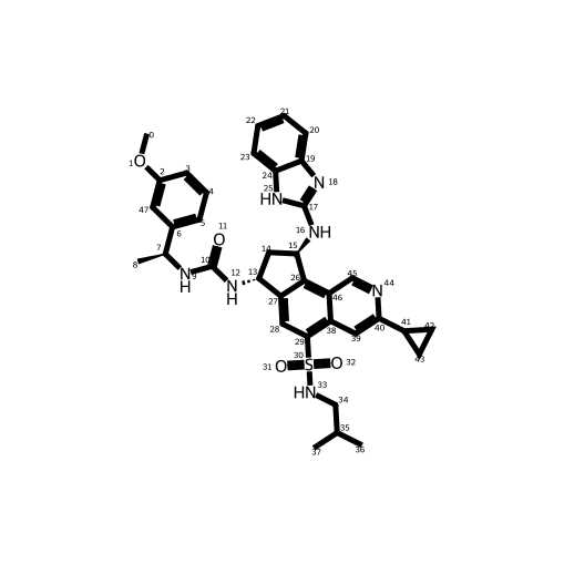 COc1cccc([C@H](C)NC(=O)N[C@@H]2C[C@@H](Nc3nc4ccccc4[nH]3)c3c2cc(S(=O)(=O)NCC(C)C)c2cc(C4CC4)ncc32)c1